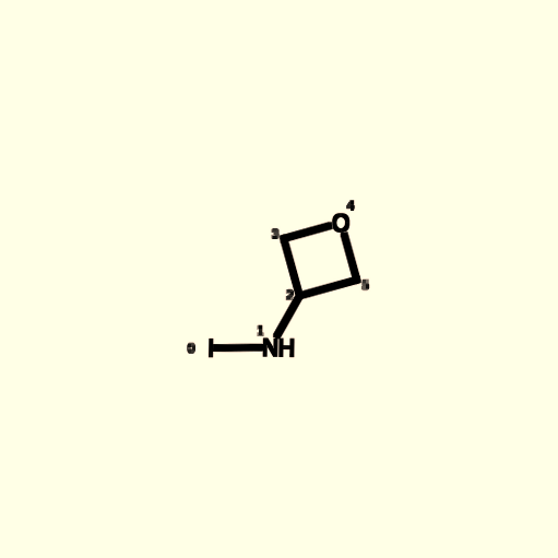 INC1COC1